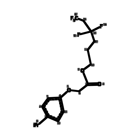 CC(C)c1ccc(OCC(=O)OCCCC(F)(F)CC(F)(F)F)cc1